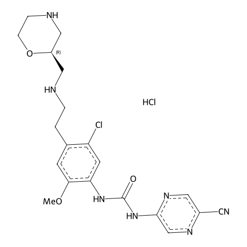 COc1cc(CCNC[C@@H]2CNCCO2)c(Cl)cc1NC(=O)Nc1cnc(C#N)cn1.Cl